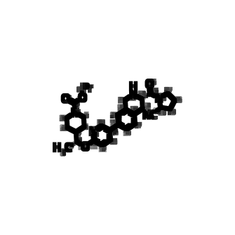 CC(C)OC(=O)N1CCC([C@@H](C)Oc2ccc(-c3ccc4c(c3)CN[C@H](C(=O)N3CCC[C@H]3C#N)C4)cn2)CC1